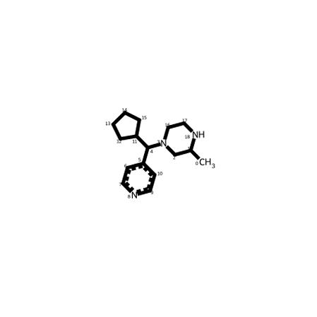 CC1CN(C(c2ccncc2)C2CCCC2)CCN1